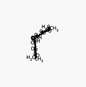 C=C(C)C(=O)OCCOC(=O)CCCC(=O)NC1CCCC[C@H]1NC(=O)CCCC(=O)OCCOC(=O)C(=C)C